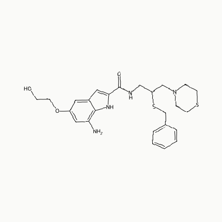 Nc1cc(OCCO)cc2cc(C(=O)NCC(CN3CCSCC3)SCc3ccccc3)[nH]c12